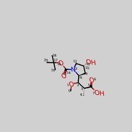 CO[C@H]([C@@H](C)C(=O)O)[C@@H]1C[C@@H](O)CN1C(=O)OC(C)(C)C